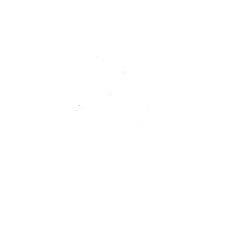 O=C(OCc1ccccc1)N1CCC1c1nc(Br)c2c(Cl)nccn12